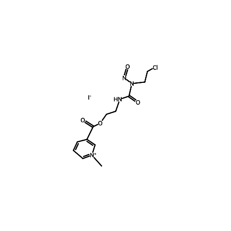 C[n+]1cccc(C(=O)OCCNC(=O)N(CCCl)N=O)c1.[I-]